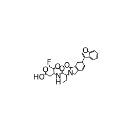 CCC(C(=O)NC(CC(=O)O)C(=O)CF)N1Cc2ccc(-c3coc4ccccc34)cc2C1=O